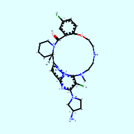 CN1CCNCCOc2ccc(F)cc2C(=O)N2CCCC[C@H]2c2cc3nc(N4CC[C@@H](N)C4)c(F)c1n3n2